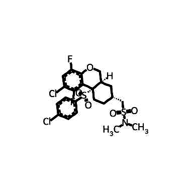 CN(C)S(=O)(=O)C[C@@H]1CC[C@@]2(S(=O)(=O)c3ccc(Cl)cc3)c3c(F)c(Cl)cc(F)c3OC[C@H]2C1